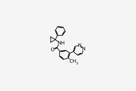 Cc1ccc(C(=O)NC2(c3ccccc3)CC2)cc1-c1ccnnc1